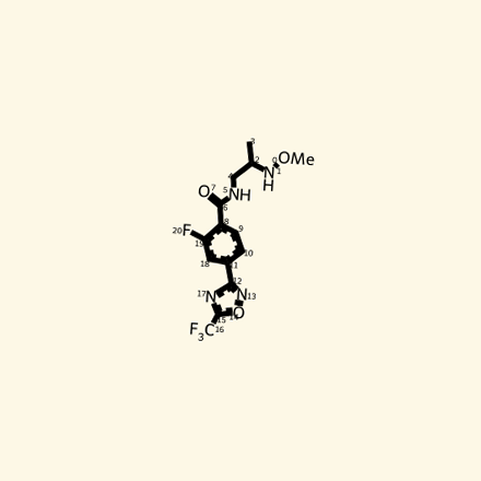 CONC(C)CNC(=O)c1ccc(-c2noc(C(F)(F)F)n2)cc1F